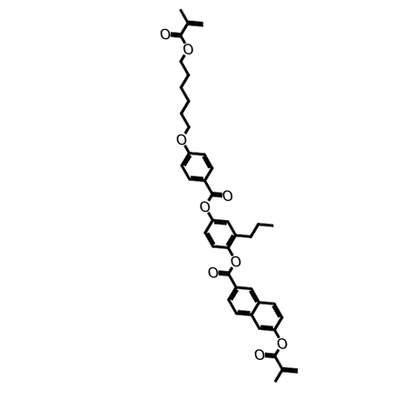 C=C(C)C(=O)OCCCCCCOc1ccc(C(=O)Oc2ccc(OC(=O)c3ccc4cc(OC(=O)C(=C)C)ccc4c3)c(CCC)c2)cc1